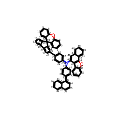 c1ccc2c(c1)Oc1ccccc1C21c2ccccc2-c2ccc(-c3ccc(N(c4ccc(-c5cccc6ccccc56)cc4)c4cc5ccccc5c5oc6ccccc6c45)cc3)cc21